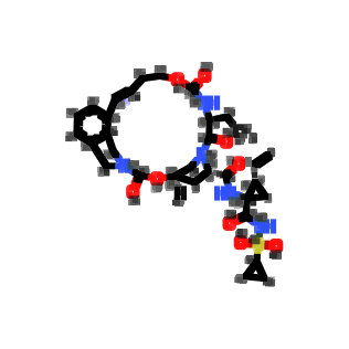 C=C[C@@H]1C[C@]1(NC(=O)[C@@H]1C[C@@H]2CN1C(=O)[C@H](CC(F)(F)F)NC(=O)OCC/C=C/c1cccc3c1CN(C3)C(=O)O2)C(=O)NS(=O)(=O)C1CC1